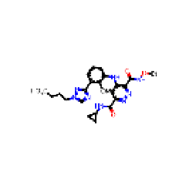 CCONC(=O)c1nnc(C(=O)NC2CC2)cc1Nc1cccc(-c2ncn(CCCC(=O)O)n2)c1OC